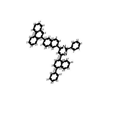 c1ccc(-c2nc(-c3ccc4cc(-c5cc6ccccc6c6ccccc56)ccc4c3)cc(-c3ccc(-c4ccccc4)c4ccccc34)n2)cc1